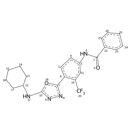 O=C(Nc1ccc(-c2nnc(NC3CCCCC3)o2)c(C(F)(F)F)c1)c1ccccc1